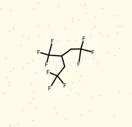 FC(F)(F)C[C](CC(F)(F)F)C(F)(F)F